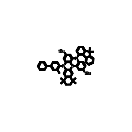 Cc1cc(-c2ccccc2)ccc1N1c2cc3c(cc2B2c4cc(C(C)(C)C)ccc4N(c4cccc5c4-c4ccccc4C5(C)C)c4cc(C(C)(C)C)cc1c42)C(C)(C)CCC3(C)C